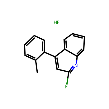 Cc1ccccc1-c1cc(F)nc2ccccc12.F